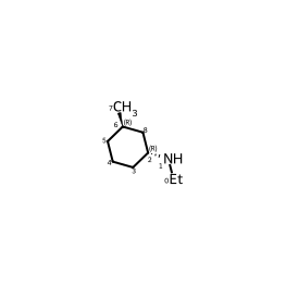 CCN[C@@H]1CCC[C@@H](C)C1